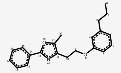 CCCc1cccc(OCCc2nc(-c3ccccc3)oc2C)c1